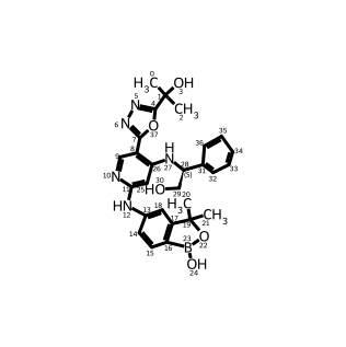 CC(C)(O)c1nnc(-c2cnc(Nc3ccc4c(c3)C(C)(C)OB4O)cc2N[C@H](CO)c2ccccc2)o1